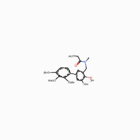 COc1cc(-c2ccc(OC)c(OC)c2OC)cc(CN(C)C(=O)COC(C)=O)c1OC(C)C